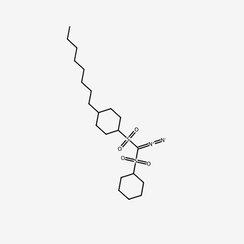 CCCCCCCCC1CCC(S(=O)(=O)C(=[N+]=[N-])S(=O)(=O)C2CCCCC2)CC1